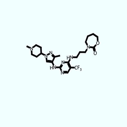 Cc1nn(C2CCN(C)CC2)cc1Nc1ncc(C(F)(F)F)c(NCCCN2CCCCOC2=O)n1